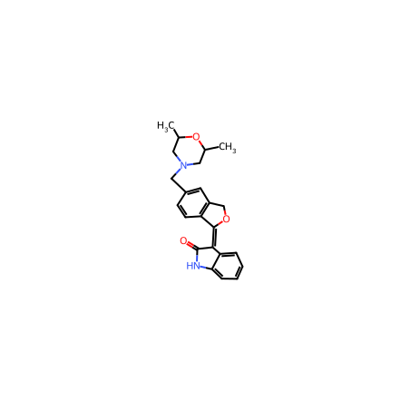 CC1CN(Cc2ccc3c(c2)COC3=C2C(=O)Nc3ccccc32)CC(C)O1